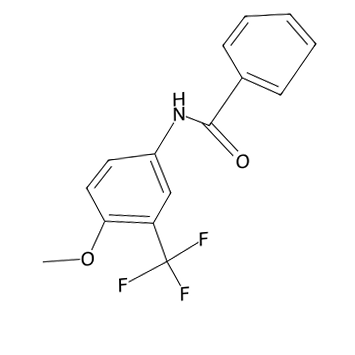 COc1ccc(NC(=O)c2ccccc2)cc1C(F)(F)F